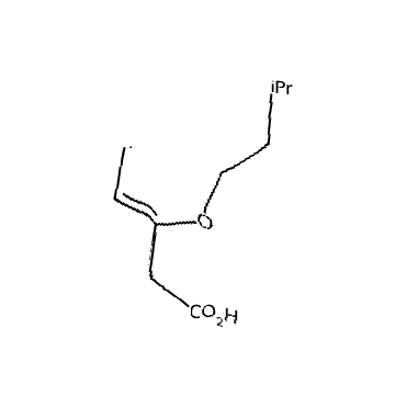 [CH2]C=C(CC(=O)O)OCCC(C)C